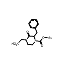 CC(C)(C)OC(=O)N1CCN(CC(=O)O)C(=O)C1Cc1ccccc1